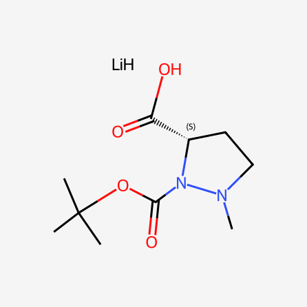 CN1CC[C@@H](C(=O)O)N1C(=O)OC(C)(C)C.[LiH]